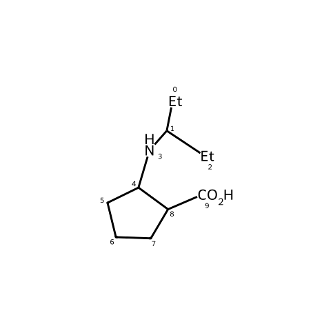 CCC(CC)NC1CCCC1C(=O)O